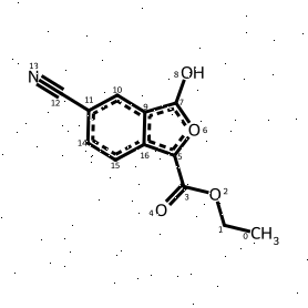 CCOC(=O)c1oc(O)c2cc(C#N)ccc12